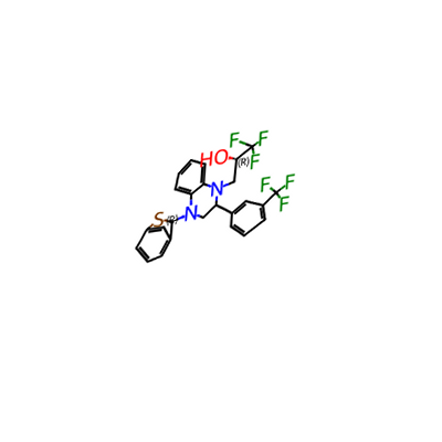 O[C@H](CN1c2ccccc2N([C@@H]2Sc3cccc2c3)CC1c1cccc(C(F)(F)F)c1)C(F)(F)F